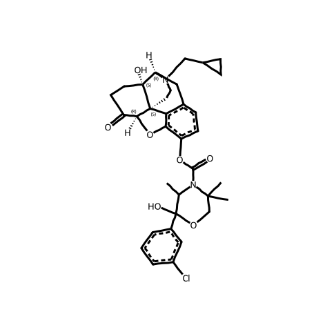 CC1N(C(=O)Oc2ccc3c4c2O[C@H]2C(=O)CC[C@@]5(O)[C@@H](C3)N(CC3CC3)CC[C@]425)C(C)(C)COC1(O)c1cccc(Cl)c1